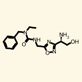 CCN(Cc1ccccc1)C(=O)NCc1nc([C@@H](N)CO)no1